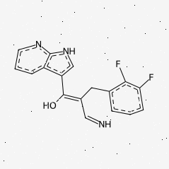 N=C/C(Cc1cccc(F)c1F)=C(\O)c1c[nH]c2ncccc12